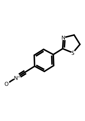 [O-][N+]#Cc1ccc(C2=NCCS2)cc1